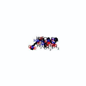 CC[C@H](C)[C@@H]([C@@H](CC(=O)N1CCC[C@H]1[C@H](OC)[C@@H](C)C(=O)N[C@@H](Cc1ccccc1)C(=O)OC)OC)N(C)C(=O)[C@@H](NC(=O)C(C)(C)NC(=O)CCCCCN1C(=O)C=CC1=O)C(C)C